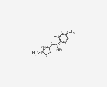 Cc1cc(C(F)(F)F)ccc1N(C[C@H]1CCC(N)=N1)C(C)C